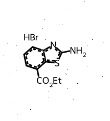 Br.CCOC(=O)c1cccc2nc(N)sc12